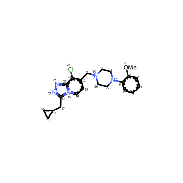 COc1ccccc1N1CCN(Cc2ccn3c(CC4CC4)nnc3c2Cl)CC1